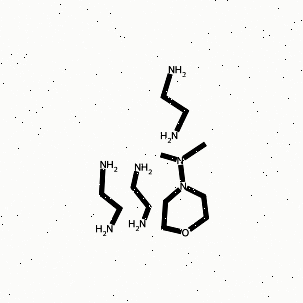 CN(C)N1CCOCC1.NCCN.NCCN.NCCN